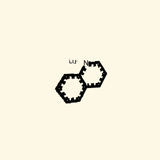 [Lu].c1ccc2ncccc2c1